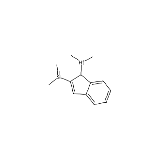 C[SiH](C)C1=Cc2ccccc2[CH]1[Hf]([CH3])[CH3]